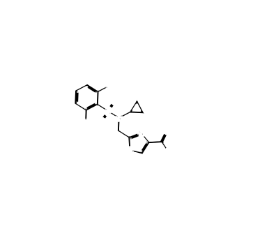 Cc1cccc(Cl)c1S(=O)(=O)N(Cc1nc(C(=O)O)co1)C1CC1